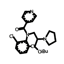 CC(C)COCC(CN(C(=O)c1ccncc1)c1c(Cl)cccc1Cl)N1CCCC1